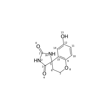 O=C1NC(=O)C2(CCOc3ccc(O)cc32)N1